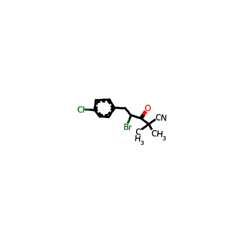 CC(C)(C#N)C(=O)C(Br)Cc1ccc(Cl)cc1